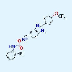 CC(C)c1ccccc1NC(=O)O/N=C/c1ccc2c(c1)nc(-c1ccc(OC(F)(F)F)cc1)n2C